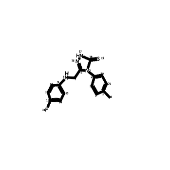 Cc1ccc(-n2c(CNc3ccc(F)cc3)n[nH]c2=S)cc1